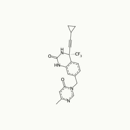 Cc1cc(=O)n(Cc2ccc3c(c2)NC(=O)N[C@]3(C#CC2CC2)C(F)(F)F)cn1